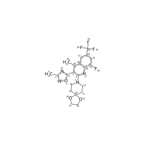 Cc1noc(-c2c(N3CCC4(CC3)OCCO4)nc3c(F)cc(C(F)(F)F)cc3c2C)n1